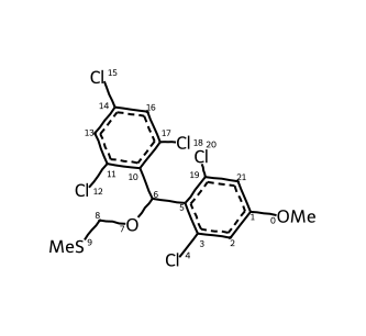 COc1cc(Cl)c(C(OCSC)c2c(Cl)cc(Cl)cc2Cl)c(Cl)c1